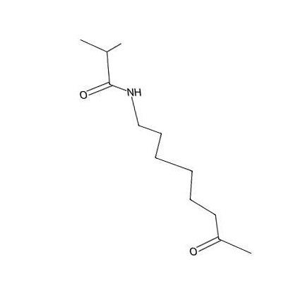 CC(=O)CCCCCCNC(=O)C(C)C